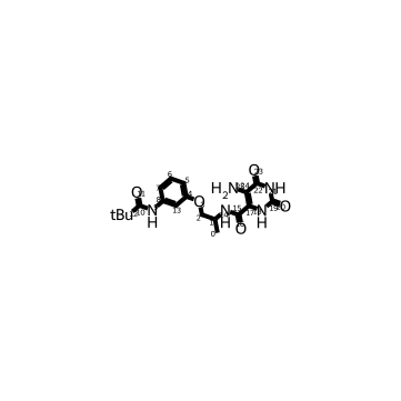 CC(COc1cccc(NC(=O)C(C)(C)C)c1)NC(=O)c1[nH]c(=O)[nH]c(=O)c1N